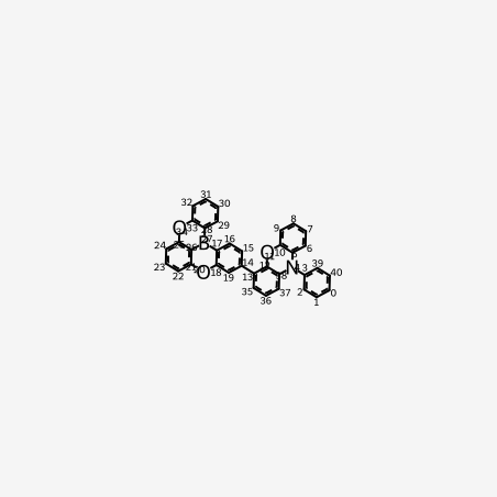 c1ccc(N2c3ccccc3Oc3c(-c4ccc5c(c4)Oc4cccc6c4B5c4ccccc4O6)cccc32)cc1